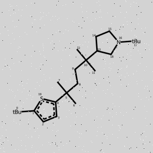 CC(C)(C)c1ccc(C(C)(C)CCC(C)(C)C2CCN(C(C)(C)C)C2)s1